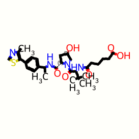 Cc1ncsc1-c1ccc(C(C)NC(=O)[C@@H]2C[C@@H](O)CN2C(=O)C(NC(=O)CCCCC(=O)O)C(C)(C)C)cc1